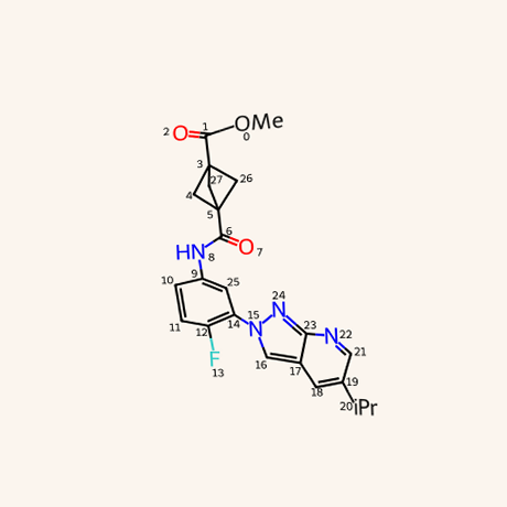 COC(=O)C12CC(C(=O)Nc3ccc(F)c(-n4cc5cc(C(C)C)cnc5n4)c3)(C1)C2